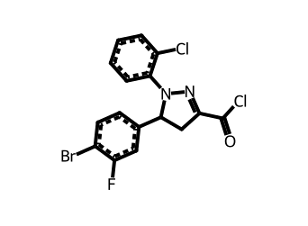 O=C(Cl)C1=NN(c2ccccc2Cl)C(c2ccc(Br)c(F)c2)C1